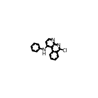 Clc1nc2nccc(Nc3ccccc3)c2c2ccccc12